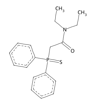 CCN(CC)C(=O)CP(=S)(c1ccccc1)c1ccccc1